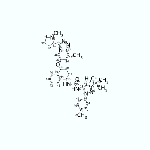 Cc1ccc(-n2nc(C(C)(C)C)cc2NC(=O)N[C@H]2CC[C@@H](Oc3cc(C)c4nnc(C5CCCN5C)n4c3)c3ccccc32)cc1